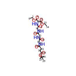 CCOC(=O)C(NC(=O)CNC(=O)CNC(=O)CNC(=O)CCC(=O)OC(C)(C)C)C(=O)OCC